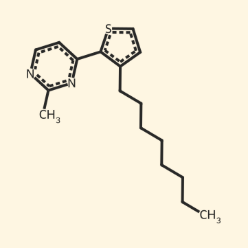 CCCCCCCCc1ccsc1-c1ccnc(C)n1